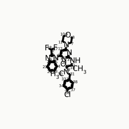 C[C@H](Nc1nc(N2CCOCC2)cc(-n2c(C(F)F)nc3ccccc32)n1)C(=O)N(C)Cc1ccc(Cl)cc1